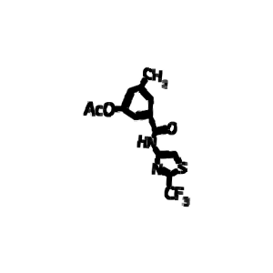 CC(=O)Oc1cc(C)cc(C(=O)Nc2csc(C(F)(F)F)n2)c1